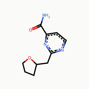 NC(=O)c1ccnc(CC2CCCO2)n1